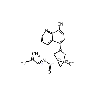 CN(C)/C=N/C(=O)[C@]12CN(c3ccc(C#N)c4ncccc34)C[C@@]1(C(F)(F)F)C2